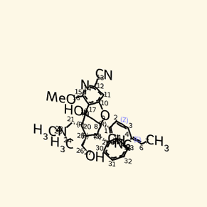 C=C(/C=C\C(C#N)=C/C)[C@@]12Oc3cc(C#N)nc(OC)c3[C@]1(O)[C@@H](CN(C)C)[C@H](CO)[C@H]2c1ccccc1